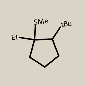 CCC1(SC)CCCC1C(C)(C)C